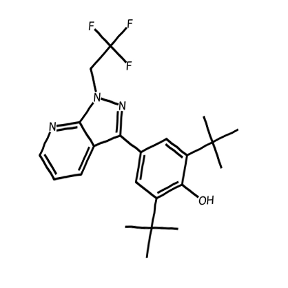 CC(C)(C)c1cc(-c2nn(CC(F)(F)F)c3ncccc23)cc(C(C)(C)C)c1O